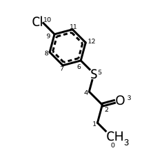 CCC(=O)CSc1ccc(Cl)cc1